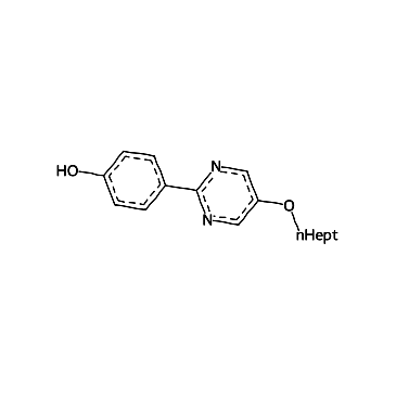 CCCCCCCOc1cnc(-c2ccc(O)cc2)nc1